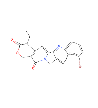 CC[C]1C(=O)OCc2c1cc1n(c2=O)Cc2cc3c(Br)cccc3nc2-1